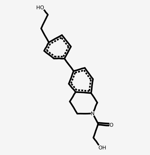 O=C(CO)N1CCc2cc(-c3ccc(CCO)cc3)ccc2C1